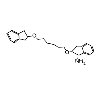 N[C@H]1c2ccccc2C[C@H]1OCCCCCCOC1Cc2ccccc2C1